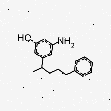 CC(CCCc1ccccc1)c1cc(N)cc(O)c1